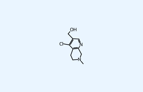 CN1CCc2c(ncc(CO)c2Cl)C1